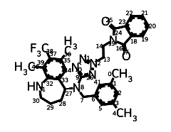 Cc1cc(C)cc(CN(c2nnn(CCN3C(=O)c4ccccc4C3=O)n2)[C@H]2CCCNc3c2cc(C)c(C(F)(F)F)c3C)c1